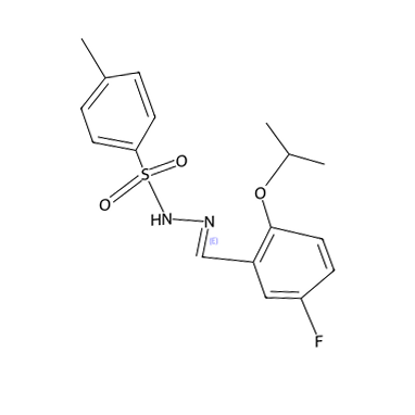 Cc1ccc(S(=O)(=O)N/N=C/c2cc(F)ccc2OC(C)C)cc1